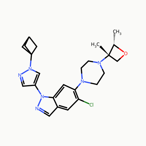 C[C@@H]1OC[C@]1(C)N1CCN(c2cc3c(cnn3-c3cnn(C45CC(C4)C5)c3)cc2Cl)CC1